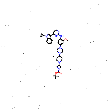 COc1cc(N2CCN(C3CCN(C4CN(C(=O)OC(C)(C)C)C4)CC3)CC2)ccc1Nc1nccc(-c2cn(C3CC3)c3ccccc23)n1